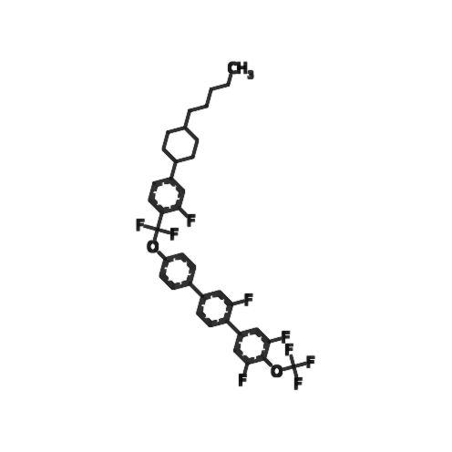 CCCCCC1CCC(c2ccc(C(F)(F)Oc3ccc(-c4ccc(-c5cc(F)c(OC(F)(F)F)c(F)c5)c(F)c4)cc3)c(F)c2)CC1